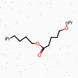 CCCOCCCCC(=O)OCCCCC(C)C